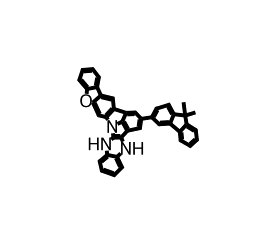 CC1(C)c2ccccc2-c2cc(-c3cc4c5c(n6c7cc8oc9ccccc9c8cc7c(c3)c46)Nc3ccccc3N5)ccc21